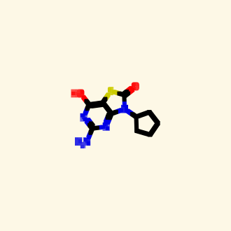 Nc1nc(O)c2sc(=O)n(C3CCCC3)c2n1